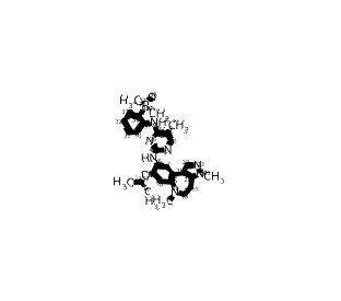 Cc1cnc(Nc2cc3c(cc2OC(C)C)N(C)CCc2c-3cnn2C)nc1Nc1ccccc1P(C)(C)=O